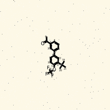 CC(=O)c1cccc(-c2ccc(OC(F)(F)F)c(C(C)(C)C)c2)c1